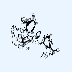 COc1c([C@@H]2[C@@H](C(=O)Nc3cc(C(N)=O)ncn3)O[C@](C)(C(F)(F)F)[C@H]2C)ccc(F)c1F